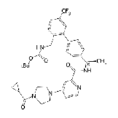 C[C@@H](NC(=O)c1cc(N2CCN(C(=O)C3CC3)CC2)ccn1)c1ccc(-c2cc(C(F)(F)F)ccc2CNC(=O)OC(C)(C)C)cc1